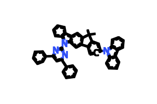 CC1(C)c2cc(-n3c4ccccc4c4ccccc43)ccc2-c2cc3c(cc21)c1ccccc1n3-c1nc(-c2ccccc2)cc(-c2ccccc2)n1